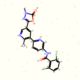 Cn1nc(-c2cnc(C(F)(F)F)c(-c3ccc(NC(=O)c4c(F)cccc4F)cn3)c2)oc1=O